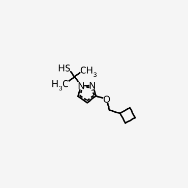 CC(C)(S)n1ccc(OCC2CCC2)n1